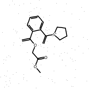 C=C(OCC(=O)OC)c1ccccc1C(=C)[S+]1CCCC1